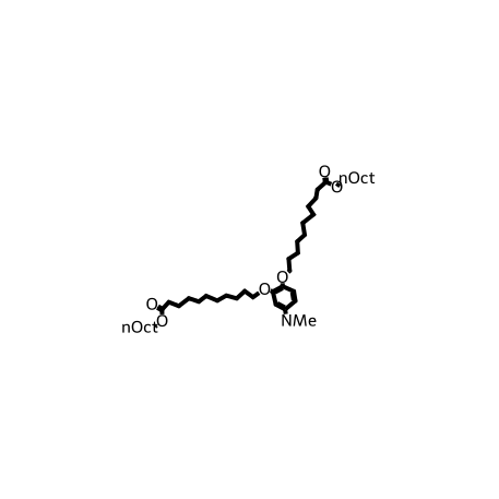 CCCCCCCCOC(=O)CCCCCCCCCCOc1ccc(NC)cc1OCCCCCCCCCCC(=O)OCCCCCCCC